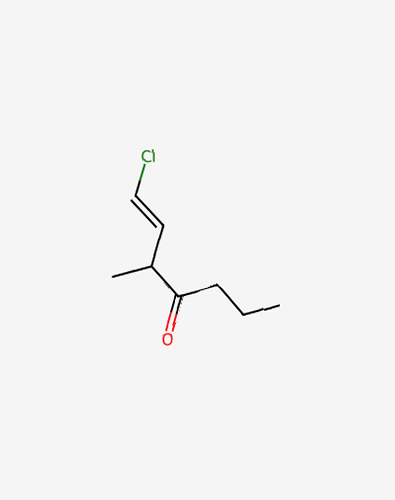 CCCC(=O)C(C)C=CCl